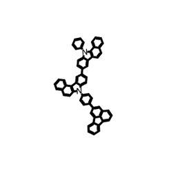 c1ccc(-n2c3ccc(-c4ccc5c(c4)c4c6ccccc6ccc4n5-c4ccc(-c5cc6c7c(cccc7c5)-c5ccccc5-6)cc4)cc3c3ccc4ccccc4c32)cc1